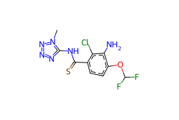 Cn1nnnc1NC(=S)c1ccc(OC(F)F)c(N)c1Cl